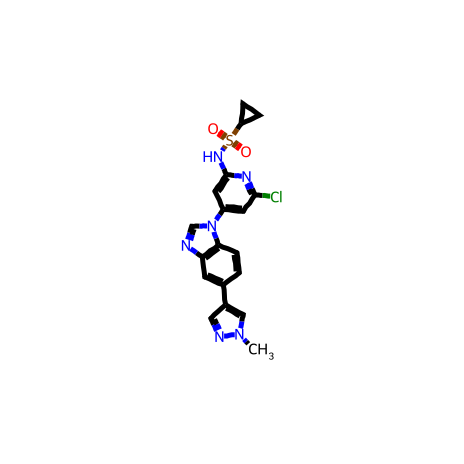 Cn1cc(-c2ccc3c(c2)ncn3-c2cc(Cl)nc(NS(=O)(=O)C3CC3)c2)cn1